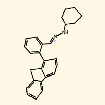 C(=N\NC1CCCCC1)/c1ccccc1-c1cccc2c1Cc1ccccc1-2